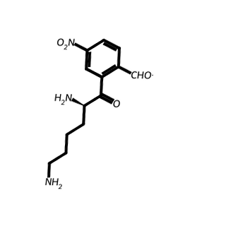 NCCCC[C@@H](N)C(=O)c1cc([N+](=O)[O-])ccc1[C]=O